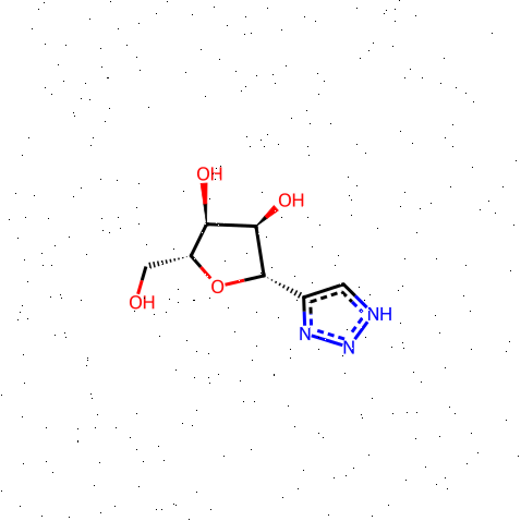 OC[C@H]1O[C@@H](c2c[nH]nn2)[C@H](O)[C@@H]1O